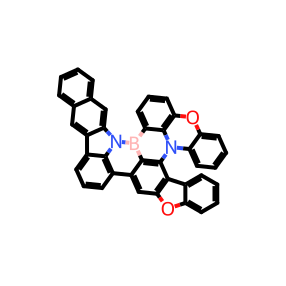 c1ccc2c(c1)Oc1cccc3c1N2c1c2c(cc4oc5ccccc5c14)-c1cccc4c5cc6ccccc6cc5n(c14)B32